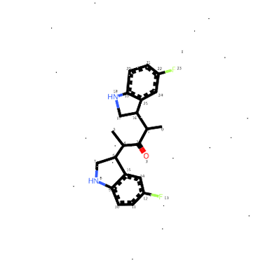 CC(C(=O)C(C)C1CNc2ccc(F)cc21)C1CNc2ccc(F)cc21